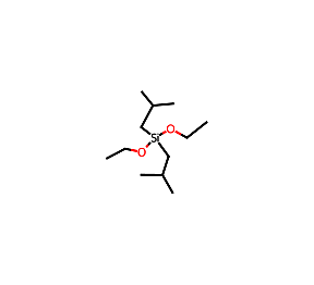 CCO[Si](CC(C)C)(CC(C)C)OCC